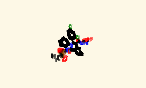 CS(=O)(=O)N[C@H]1CCCCC1N1C(=O)c2ccccc2[C@@H](C(=O)NO)[C@@H]1c1ccc(Cl)cc1Cl